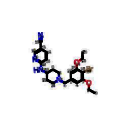 CCOc1cc(CN2CCC(Nc3ccc(C#N)cn3)CC2)cc(OCC)c1Br